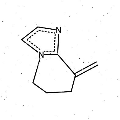 C=C1CCCn2ccnc21